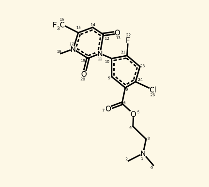 CN(C)CCOC(=O)c1cc(-n2c(=O)cc(C(F)(F)F)n(C)c2=O)c(F)cc1Cl